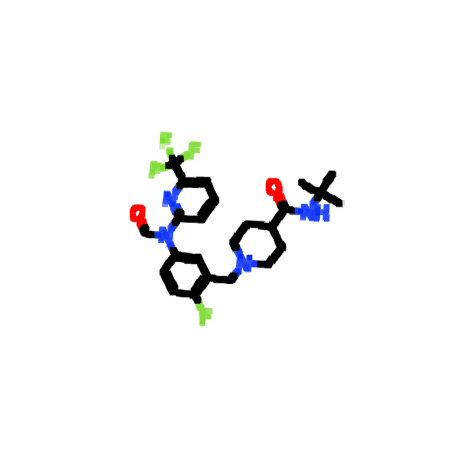 CC(C)(C)NC(=O)C1CCN(Cc2cc(N(C=O)c3cccc(C(F)(F)F)n3)ccc2F)CC1